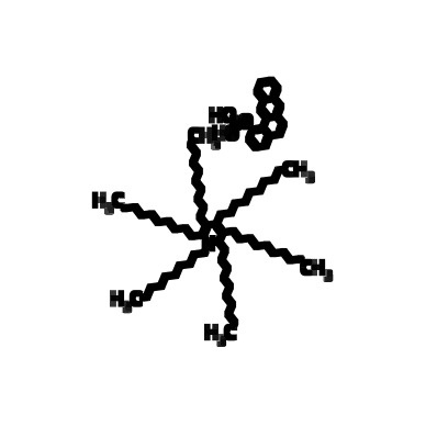 CCCCCCCCCCc1c(CCCCCCCCCC)c(CCCCCCCCCC)[n+](CCCCCCCCCC)c(CCCCCCCCCC)c1CCCCCCCCCC.OB(O)Oc1cccc2ccc3cc4ccccc4cc3c12